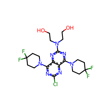 OCCN(CCO)c1nc(N2CCC(F)(F)CC2)c2nc(Cl)nc(N3CCC(F)(F)CC3)c2n1